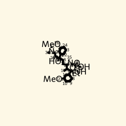 CCC(OP(=O)(O)O)(c1cccc(OC)c1)C(C)C(CC[C@@](O)(c1cccc(OC)c1)[C@H](C)CN(C)C)N(C)C